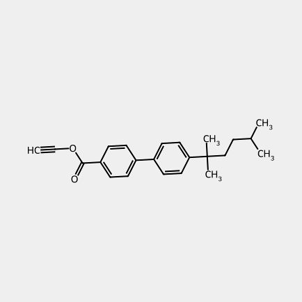 C#COC(=O)c1ccc(-c2ccc(C(C)(C)CCC(C)C)cc2)cc1